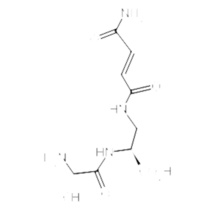 C[C@H](N)C(=O)N[C@@H](CNC(=O)/C=C/C(N)=O)C(=O)O